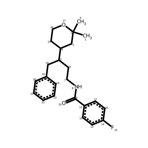 CC1(C)CC(C(CCNC(=O)c2ccc(F)cc2)Cc2ccccc2)CCO1